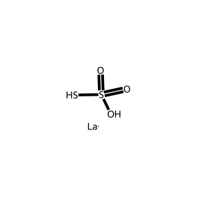 O=S(=O)(O)S.[La]